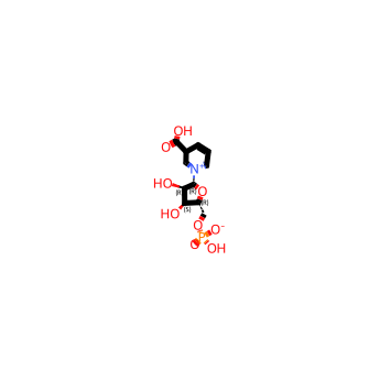 O=C(O)C1C=CC=[N+]([C@@H]2O[C@H](COP(=O)([O-])O)[C@@H](O)[C@H]2O)C1